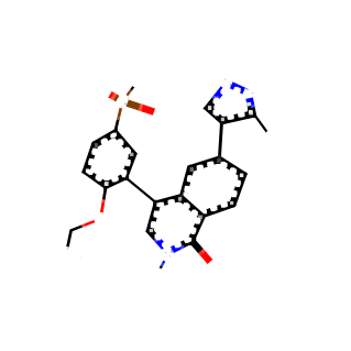 CCOc1ccc(S(C)(=O)=O)cc1-c1cn(C)c(=O)c2ccc(-c3c[nH]nc3C)cc12